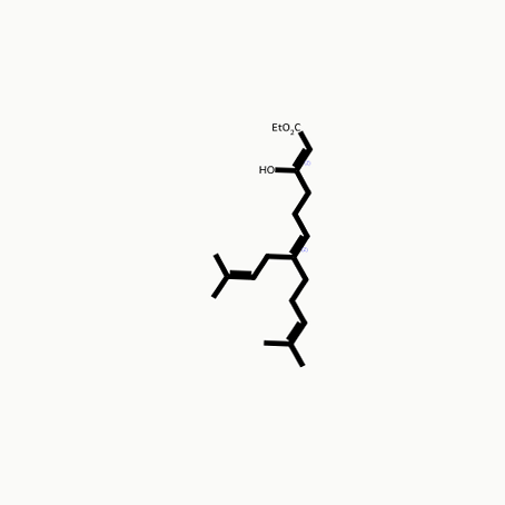 CCOC(=O)/C=C(\O)CC/C=C(\CC=C(C)C)CCC=C(C)C